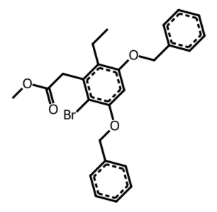 CCc1c(OCc2ccccc2)cc(OCc2ccccc2)c(Br)c1CC(=O)OC